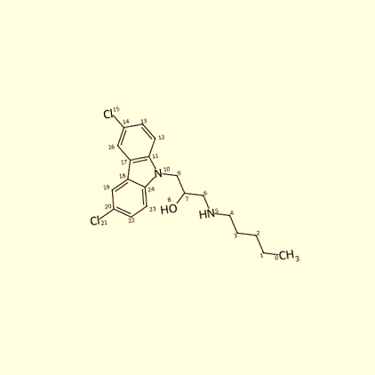 CCCCCNCC(O)Cn1c2ccc(Cl)cc2c2cc(Cl)ccc21